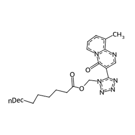 CCCCCCCCCCCCCCCC(=O)OCn1nnnc1-c1cnc2c(C)cccn2c1=O